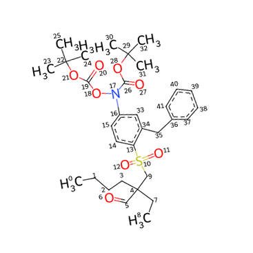 CCCCC(C=O)(CC)CS(=O)(=O)c1ccc(N(OC(=O)OC(C)(C)C)C(=O)OC(C)(C)C)cc1Cc1ccccc1